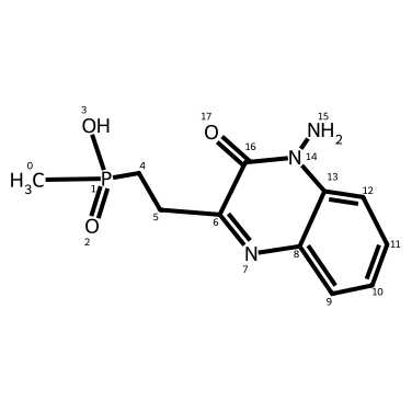 CP(=O)(O)CCc1nc2ccccc2n(N)c1=O